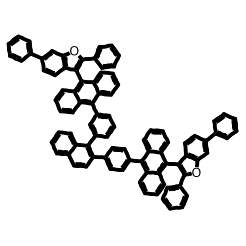 c1ccc(-c2ccc3c(-c4c5ccccc5c(-c5ccc(-c6ccc7ccccc7c6-c6cccc(-c7c8ccccc8c(-c8c(-c9ccccc9)oc9cc(-c%10ccccc%10)ccc89)c8ccccc78)c6)cc5)c5ccccc45)c(-c4ccccc4)oc3c2)cc1